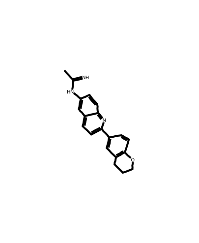 CC(=N)Nc1ccc2nc(-c3ccc4c(c3)CCCO4)ccc2c1